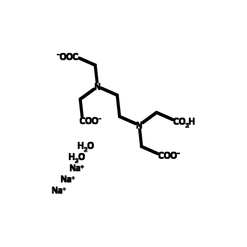 O.O.O=C([O-])CN(CCN(CC(=O)[O-])CC(=O)O)CC(=O)[O-].[Na+].[Na+].[Na+]